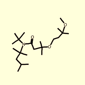 COC(C)(C)CCOC(C)(C)CC(=O)N(C(C)(C)C)C(C)(C)CC(C)C